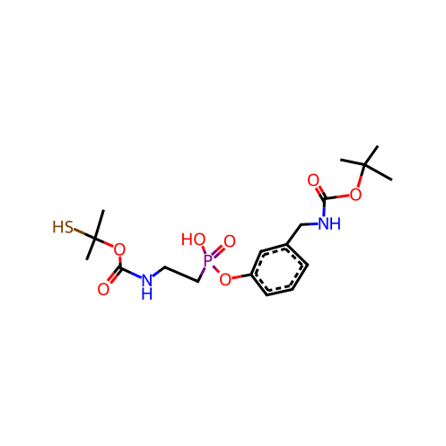 CC(C)(C)OC(=O)NCc1cccc(OP(=O)(O)CCNC(=O)OC(C)(C)S)c1